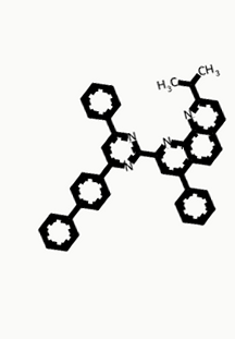 CC(C)c1ccc2ccc3c(-c4ccccc4)cc(-c4nc(-c5ccccc5)cc(-c5ccc(-c6ccccc6)cc5)n4)nc3c2n1